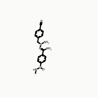 CN[S+]([O-])c1ccc(/C(N)=N/N(N)Cc2ccc(C#N)cc2)cc1